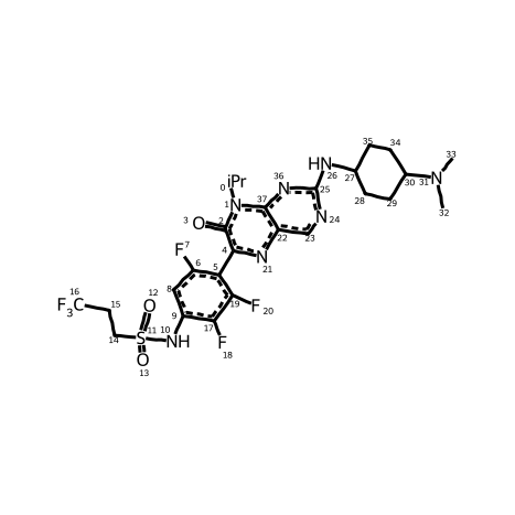 CC(C)n1c(=O)c(-c2c(F)cc(NS(=O)(=O)CCC(F)(F)F)c(F)c2F)nc2cnc(NC3CCC(N(C)C)CC3)nc21